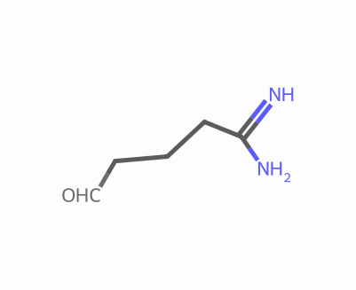 N=C(N)CCCC=O